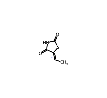 C/C=C1\SC(=O)NC1=O